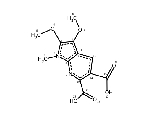 COc1c(OC)n(C)c2nc(C(=O)O)c(C(=O)O)cc12